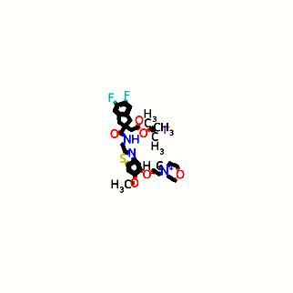 COc1cc2sc(CNC(=O)C3(CC(=O)OC(C)(C)C)Cc4cc(F)c(F)cc4C3)nc2cc1OCC[N+]1(C)CCOCC1.[I-]